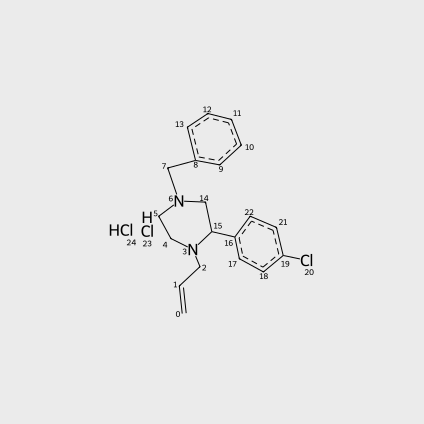 C=CCN1CCN(Cc2ccccc2)CC1c1ccc(Cl)cc1.Cl.Cl